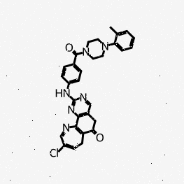 Cc1ccccc1N1CCN(C(=O)c2ccc(Nc3ncc4c(n3)C3=C(CC=C(Cl)C=N3)C(=O)C4)cc2)CC1